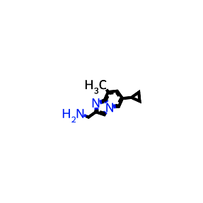 Cc1cc(C2CC2)cn2cc(CN)nc12